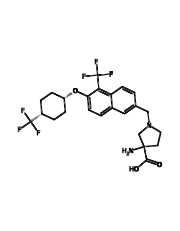 NC1(C(=O)O)CCN(Cc2ccc3c(C(F)(F)F)c(O[C@H]4CC[C@@H](C(F)(F)F)CC4)ccc3c2)C1